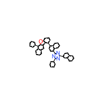 c1ccc(-c2nc(-c3ccc4ccccc4c3)nc(-c3ccc(-c4cccc5oc6c(-c7ccccc7)c7ccccc7cc6c45)c4ccccc34)n2)cc1